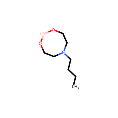 CCCCN1CCOBOCC1